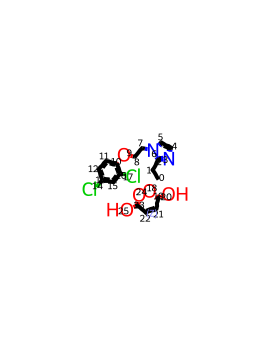 CCc1nccn1CCOc1ccc(Cl)cc1Cl.O=C(O)/C=C\C(=O)O